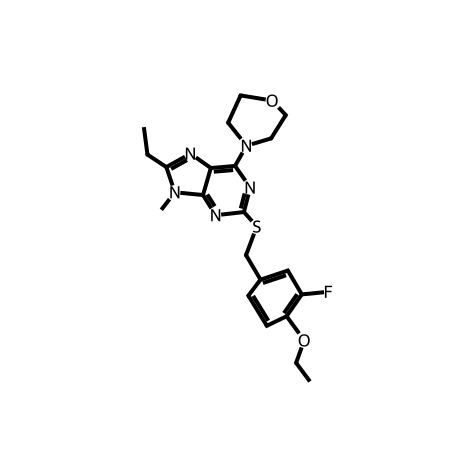 CCOc1ccc(CSc2nc(N3CCOCC3)c3nc(CC)n(C)c3n2)cc1F